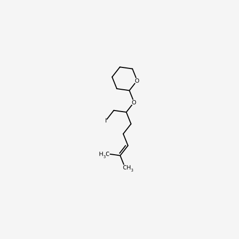 CC(C)=CCCC(CI)OC1CCCCO1